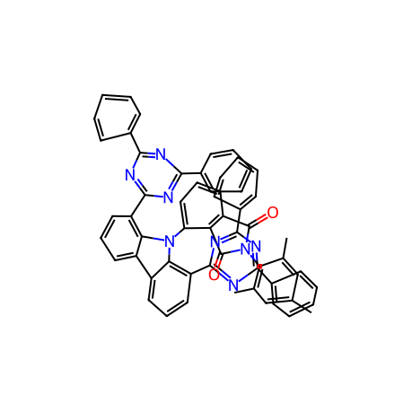 Cc1cc(C)c(N2C(=O)c3cccc(-n4c5c(-c6nc(-c7ccccc7)nc(-c7ccccc7)n6)cccc5c5cccc(-c6nc(-c7ccccc7)nc(-c7ccccc7)n6)c54)c3C2=O)c(C)c1